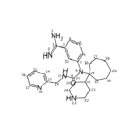 N=C(N)c1cccc(N(C(=O)NCc2ccccn2)C2(C3CCNCC3)CCCCCC2)c1